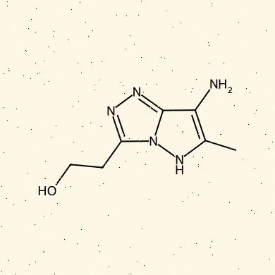 Cc1[nH]n2c(CCO)nnc2c1N